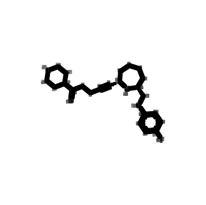 O=C(CCC#C[C@@H]1CCCC[C@@H](COc2ccc(F)cc2)O1)C1CCOCC1